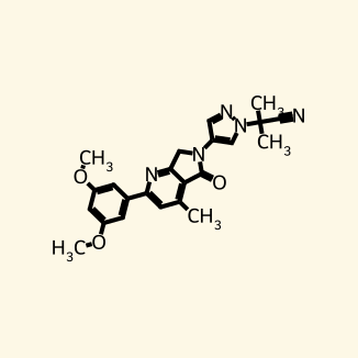 COc1cc(OC)cc(-c2cc(C)c3c(n2)CN(c2cnn(C(C)(C)C#N)c2)C3=O)c1